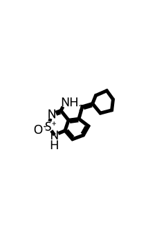 NC1=N[S+]([O-])Nc2cccc(C=C3CCCCC3)c21